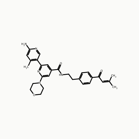 CC(C)=CC(=O)c1ccc(CCNC(=O)c2cc(-c3cnc(N)cc3C)nc(N3CCOCC3)c2)cc1